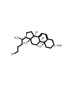 CC(=O)O[C@@H]1CC[C@@]2(C)C(=CC=C3[C@@H]4CC[C@H]([C@H](C)CCCC(C)C)[C@@]4(C)CC[C@@H]32)C1